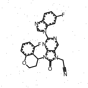 N#CCn1c(=O)n(C2CCOc3cccc(F)c32)c2nc(-n3cnc4ccc(F)cc43)ncc21